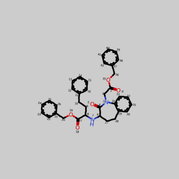 O=C(CN1C(=O)C(NC(CCc2ccccc2)C(=O)OCc2ccccc2)CCc2ccccc21)OCc1ccccc1